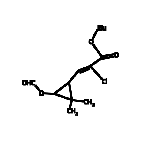 CCC(C)OC(=O)C(Cl)=CC1C(OC=O)C1(C)C